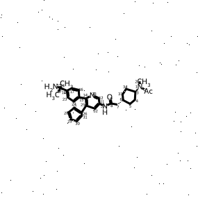 CC(=O)N(C)[C@H]1CC[C@H](CC(=O)Nc2cnc(-c3ccc(C(C)(C)N)cc3)c(-c3ccccc3)c2)CC1